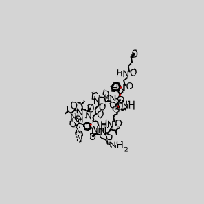 CC[C@H](C)[C@@H]([C@@H](CC(=O)N1CCC[C@H]1[C@H](OC)[C@@H](C)C(=O)N[C@@H](Cc1ccccc1)C1NC=CS1)OC)N(C)C(=O)[C@@H](NC(=O)[C@H](C(C)C)N(C)OC(C(=O)N1CCN(C)CC1)c1ccc(NC(=O)[C@H](CCCN)NC(=O)[C@@H](NC(=O)CCOCCOCCNC(=O)CCNC(=O)CCC=O)C(C)C)cc1)C(C)C